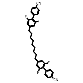 N#Cc1ccc(-c2c(F)cc(CCCCCCCCCc3cc(F)c(-c4ccc(C#N)cc4)c(F)c3)cc2F)cc1